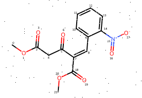 COC(=O)CC(=O)/C(=C\c1ccccc1[N+](=O)[O-])C(=O)OC